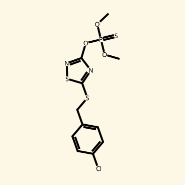 COP(=S)(OC)Oc1nsc(SCc2ccc(Cl)cc2)n1